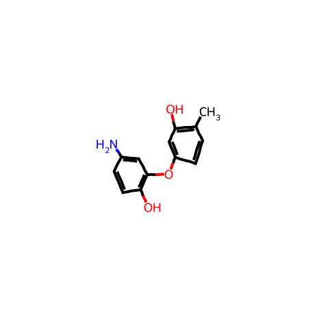 Cc1ccc(Oc2cc(N)ccc2O)cc1O